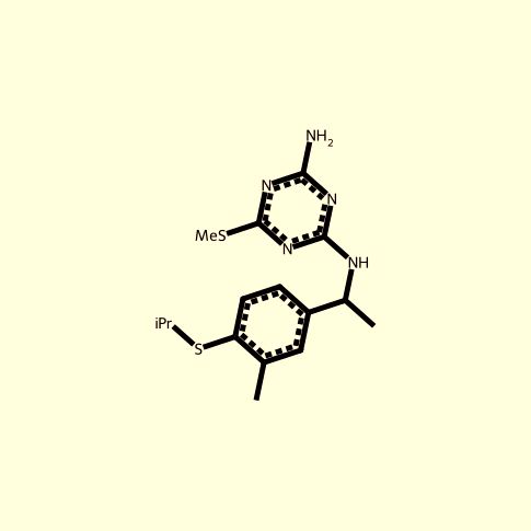 CSc1nc(N)nc(NC(C)c2ccc(SC(C)C)c(C)c2)n1